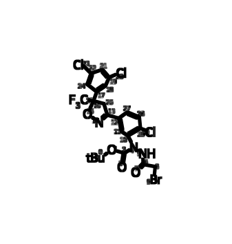 CC(C)(C)OC(=O)N(NC(=O)CBr)c1cc(C2=NOC(c3cc(Cl)cc(Cl)c3)(C(F)(F)F)C2)ccc1Cl